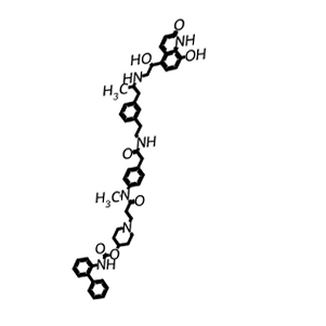 CC(Cc1cccc(CCNC(=O)Cc2ccc(N(C)C(=O)CCN3CCC(OC(=O)Nc4ccccc4-c4ccccc4)CC3)cc2)c1)NCC(O)c1ccc(O)c2[nH]c(=O)ccc12